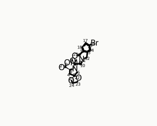 COC(=O)[C@@H]1CC2(CN1C(=O)CN1Cc3cc(Br)ccc3C1=O)OCCO2